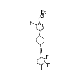 CCOCc1ccc(C2CCC(C#Cc3ccc(C)c(F)c3F)CC2)cc1F